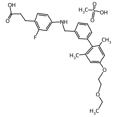 CCOCCOc1cc(C)c(-c2cccc(CNc3ccc(CCC(=O)O)c(F)c3)c2)c(C)c1.CS(=O)(=O)O